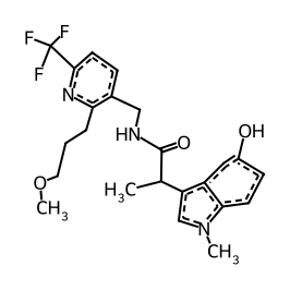 COCCCc1nc(C(F)(F)F)ccc1CNC(=O)C(C)c1cn(C)c2ccc(O)cc12